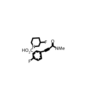 CNC(=O)C#Cc1ccc(F)cc1.O=C(O)N1CCCC(F)C1